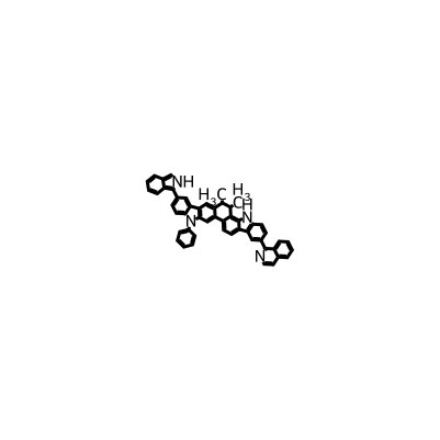 CC1c2cc3c4cc(-c5[nH]cc6ccccc56)ccc4n(-c4ccccc4)c3cc2-c2ccc3c([nH]c4ccc(-c5nccc6ccccc56)cc43)c2C1C